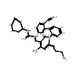 CCCCc1cc(C)c(CNC(=O)NC2CCCCC2)c(=O)n1-c1ccccc1-c1ccccc1C#N